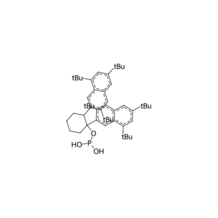 CC(C)(C)c1cc(C(C)(C)C)c2cc(C3CCCCC3(OP(O)O)c3cc4c(C(C)(C)C)cc(C(C)(C)C)cc4cc3C(C)(C)C)c(C(C)(C)C)cc2c1